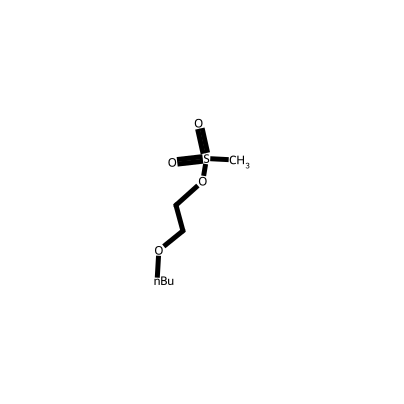 CCCCOCCOS(C)(=O)=O